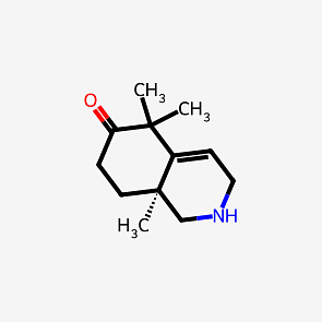 CC1(C)C(=O)CC[C@]2(C)CNCC=C12